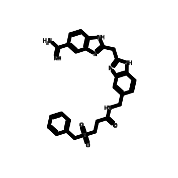 N=C(N)c1ccc2[nH]c(Cc3nc4cc(CNC(=O)CCS(=O)(=O)Cc5ccccc5)ccc4[nH]3)nc2c1